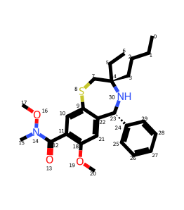 CCCC[C@]1(CC)CSc2cc(C(=O)N(C)OC)c(OC)cc2[C@@H](c2ccccc2)N1